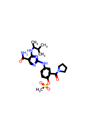 CC(C)C(C)Nc1nc(Nc2ccc(OS(C)(=O)=O)c(C(=O)N3CCCC3)c2)ncc1C(N)=O